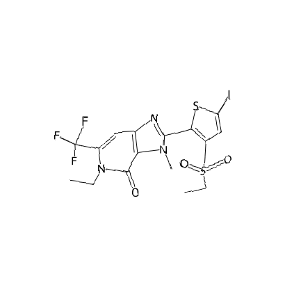 CCn1c(C(F)(F)F)cc2nc(-c3sc(I)cc3S(=O)(=O)CC)n(C)c2c1=O